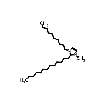 CCCCCCCCCCCCCC1N(C)C=CN1CCCCCCCCCC